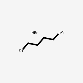 Br.CCCCCC[CH2][Zn]